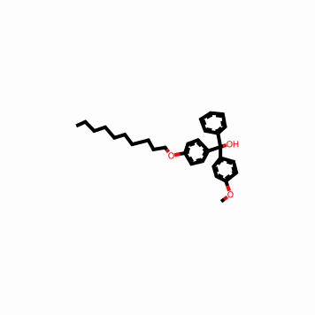 CCCCCCCCCCOc1ccc(C(O)(c2ccccc2)c2ccc(OC)cc2)cc1